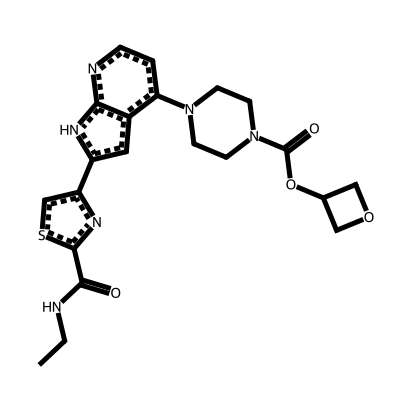 CCNC(=O)c1nc(-c2cc3c(N4CCN(C(=O)OC5COC5)CC4)ccnc3[nH]2)cs1